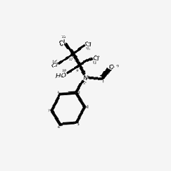 O=CN(C1CCCCC1)C(O)(Cl)C(Cl)(Cl)Cl